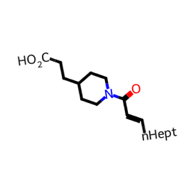 CCCCCCC/C=C/C(=O)N1CCC(CCC(=O)O)CC1